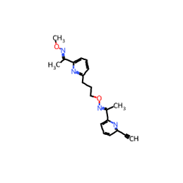 C#Cc1cccc(/C(C)=N/OCCCc2cccc(/C(C)=N/OC)n2)n1